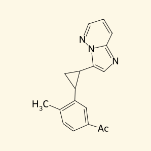 CC(=O)c1ccc(C)c(C2CC2c2cnc3cccnn23)c1